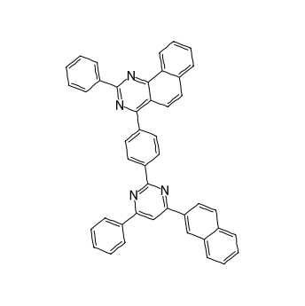 c1ccc(-c2cc(-c3ccc4ccccc4c3)nc(-c3ccc(-c4nc(-c5ccccc5)nc5c4ccc4ccccc45)cc3)n2)cc1